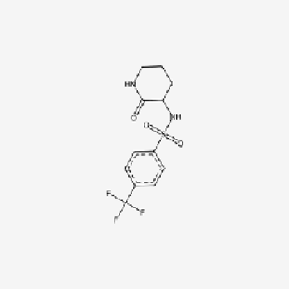 O=C1NCCCC1NS(=O)(=O)c1ccc(C(F)(F)F)cc1